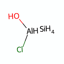 [OH][AlH][Cl].[SiH4]